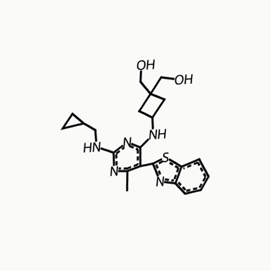 Cc1nc(NCC2CC2)nc(NC2CC(CO)(CO)C2)c1-c1nc2ccccc2s1